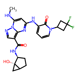 CNc1cc(Nc2cccn(C3CC(F)(F)C3)c2=O)nc2c(C(=O)N[C@H]3CCC4C[C@]43O)cnn12